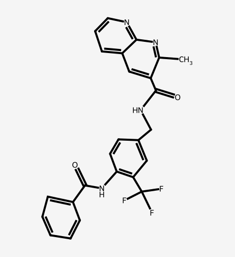 Cc1nc2ncccc2cc1C(=O)NCc1ccc(NC(=O)c2ccccc2)c(C(F)(F)F)c1